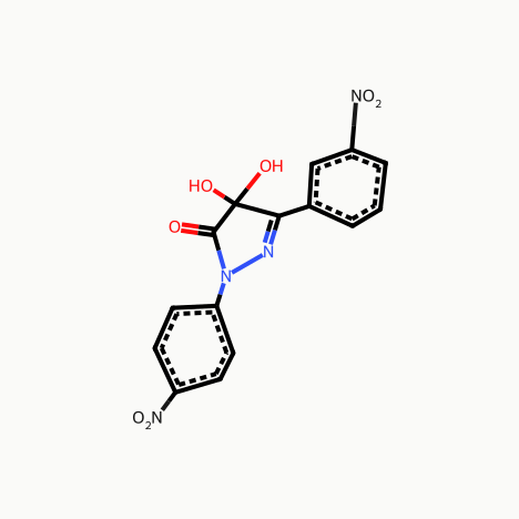 O=C1N(c2ccc([N+](=O)[O-])cc2)N=C(c2cccc([N+](=O)[O-])c2)C1(O)O